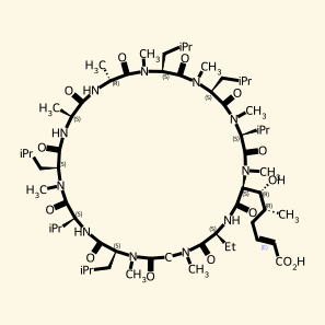 CC[C@@H]1NC(=O)[C@H]([C@H](O)[C@H](C)C/C=C/C(=O)O)N(C)C(=O)[C@H](C(C)C)N(C)C(=O)[C@H](CC(C)C)N(C)C(=O)[C@H](CC(C)C)N(C)C(=O)[C@@H](C)NC(=O)[C@H](C)NC(=O)[C@H](CC(C)C)N(C)C(=O)[C@H](C(C)C)NC(=O)[C@H](CC(C)C)N(C)C(=O)CN(C)C1=O